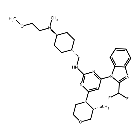 COCCN(C)[C@H]1CC[C@H](CNc2nc(N3CCOC[C@H]3C)cc(-n3c(C(F)F)nc4ccccc43)n2)CC1